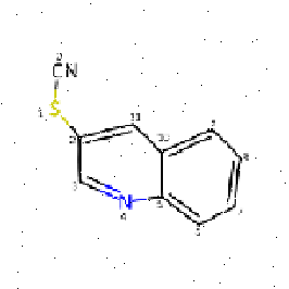 N#CSc1cnc2ccccc2c1